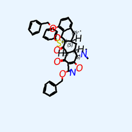 C[C@H]1c2cccc(OCc3ccccc3)c2C(=O)[C@@]2(Sc3ccccc3)C(=O)[C@@H]3C(=O)c4c(OCc5ccccc5)noc4[C@@H](N(C)C)[C@@H]3C[C@@H]12